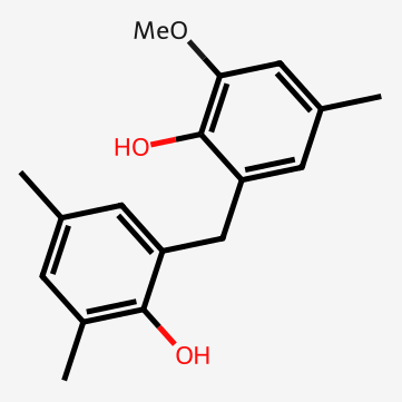 COc1cc(C)cc(Cc2cc(C)cc(C)c2O)c1O